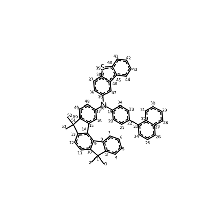 CC1(C)c2ccccc2-c2c1ccc1c2-c2cc(N(c3ccc(-c4cccc5ccccc45)cc3)c3ccc4sc5ccccc5c4c3)ccc2C1(C)C